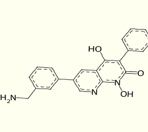 NCc1cccc(-c2cnc3c(c2)c(O)c(-c2ccccc2)c(=O)n3O)c1